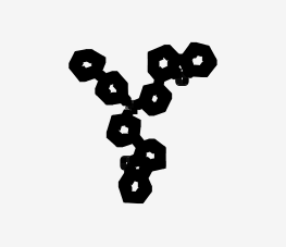 c1ccc(-c2ccc(N(c3cccc(-c4cccc5c4oc4ccccc45)c3)c3cccc(-c4cccc5c4oc4ccccc45)c3)cc2)cc1